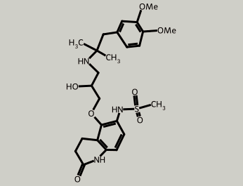 COc1ccc(CC(C)(C)NCC(O)COc2c(NS(C)(=O)=O)ccc3c2CCC(=O)N3)cc1OC